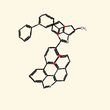 C\C1=C(c2ccccc2)/N=C(c2ccc(-c3cccc4cnc5ccc6ccccc6c5c34)cc2)\N=C(\c2cccc(-c3ccccc3)c2)CC1